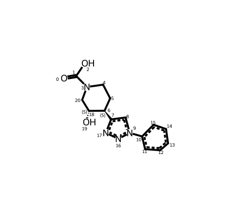 O=C(O)N1CC[C@@H](c2cn(-c3ccccc3)nn2)[C@H](O)C1